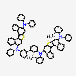 Cc1ccccc1N(c1ccccc1)c1cc2sc3cc(N(c4cccc(-c5cccc(N(c6ccccc6)c6cc7sc8cc(N(c9ccccc9)c9ccccc9)c9ccccc9c8c7c7ccccc67)c5)c4)c4ccccc4C)c4ccccc4c3c2c2ccccc12